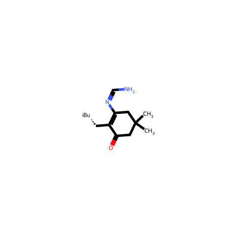 CC[C@@H](C)CC1=C(/N=C\N)CC(C)(C)CC1=O